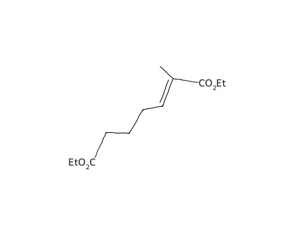 CCOC(=O)CCCC=C(C)C(=O)OCC